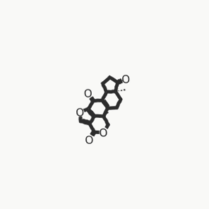 C[C@]12COC(=O)c3coc(c31)C(=O)C1=C2CC[C@]2(C)C(=O)CCC12